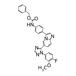 COc1cc(-n2ncnc2-c2ccc3ncc(-c4ccc(NC(=O)OCc5ccccc5)cc4)n3c2)ccc1F